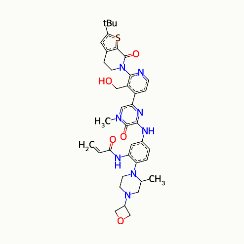 C=CC(=O)Nc1cc(Nc2nc(-c3ccnc(N4CCc5cc(C(C)(C)C)sc5C4=O)c3CO)cn(C)c2=O)ccc1N1CCN(C2COC2)CC1C